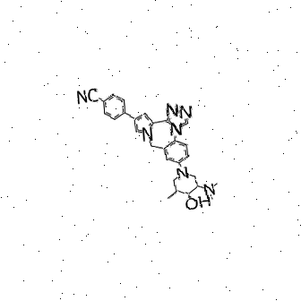 CC1CN(c2ccc3c(c2)Cn2cc(-c4ccc(C#N)cc4)cc2-c2nncn2-3)CC(N(C)C)[C@H]1O